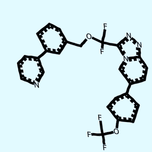 FC(F)(F)Oc1ccc(-c2ccc3nnc(C(F)(F)OCc4cccc(-c5cccnc5)c4)n3c2)cc1